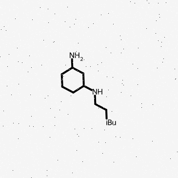 CCC(C)CCNC1CCCC(N)C1